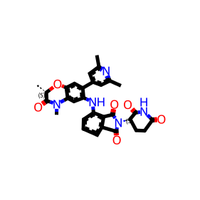 Cc1cc(-c2cc3c(cc2Nc2cccc4c2C(=O)N([C@H]2CCC(=O)NC2=O)C4=O)N(C)C(=O)[C@H](C)O3)cc(C)n1